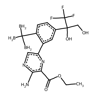 BC(B)(B)c1ccc(C(O)(CO)C(F)(F)F)cc1-c1cnc(N)c(C(=O)OCC)n1